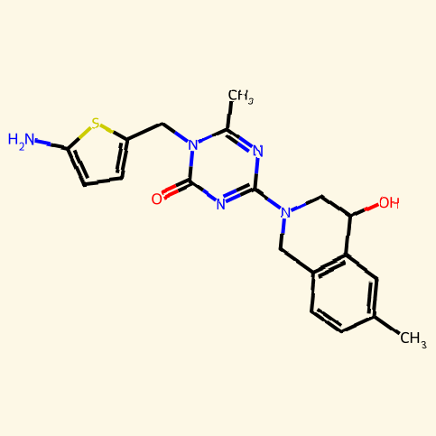 Cc1ccc2c(c1)C(O)CN(c1nc(C)n(Cc3ccc(N)s3)c(=O)n1)C2